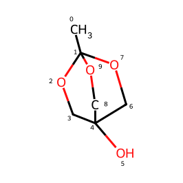 CC12OCC(O)(CO1)CO2